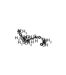 Cc1ncsc1-c1ccc([C@H](C)NC(=O)[C@@H]2C[C@@H](O)CN2C(=O)[C@@H](c2cc(OCCNCCC(=O)NCc3ccc(CCOc4cc(-c5ccccc5O)nnc4N)cc3)no2)C(C)C)cc1